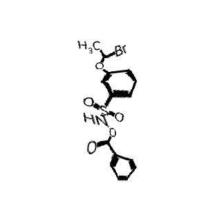 CC(Br)Oc1cccc(S(=O)(=O)NOC(=O)c2ccccc2)c1